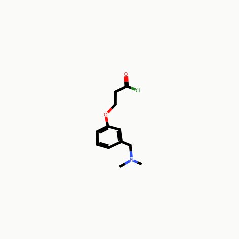 CN(C)Cc1cccc(OCCC(=O)Cl)c1